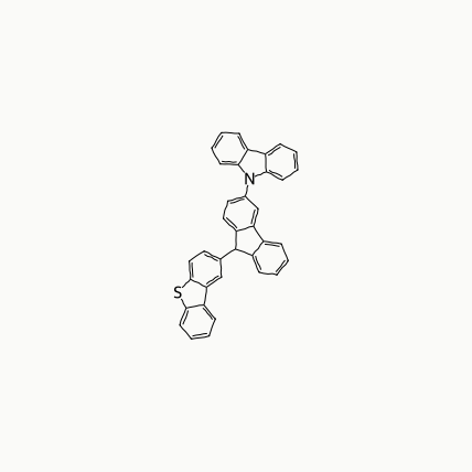 c1ccc2c(c1)-c1cc(-n3c4ccccc4c4ccccc43)ccc1C2c1ccc2sc3ccccc3c2c1